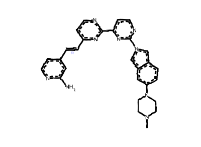 CN1CCN(c2ccc3cn(-c4nccc(-c5nccc(/C=C/c6ccnc(N)c6)n5)n4)cc3c2)CC1